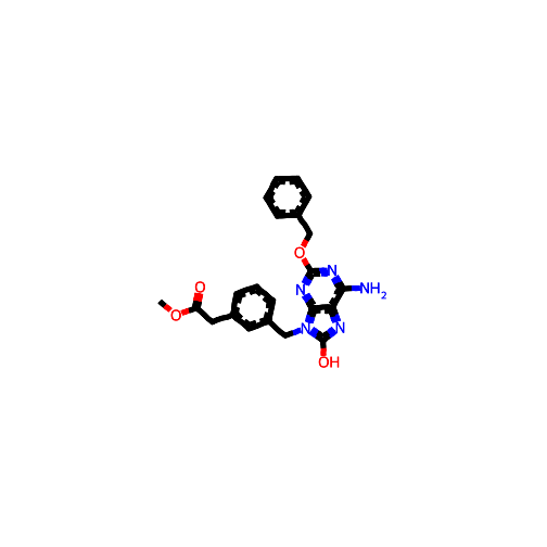 COC(=O)Cc1cccc(Cn2c(O)nc3c(N)nc(OCc4ccccc4)nc32)c1